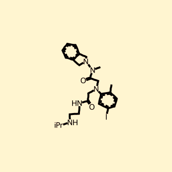 Cc1ccc(I)cc1N(CC(=O)NCCNC(C)C)CC(=O)N(C)N1Cc2ccccc2C1